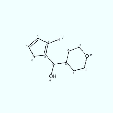 OC(c1sccc1I)C1CCOCC1